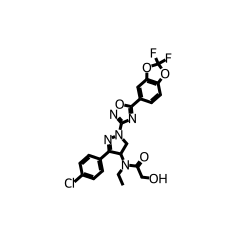 CCN(C(=O)CO)C1CN(c2noc(-c3ccc4c(c3)OC(F)(F)O4)n2)N=C1c1ccc(Cl)cc1